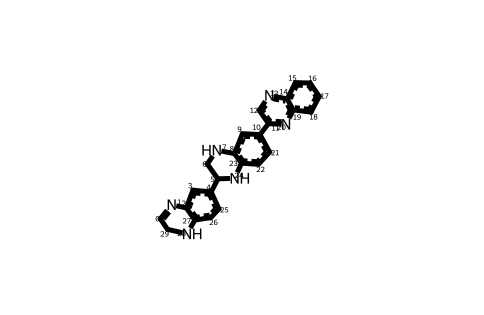 C1=Nc2cc(C3CNc4cc(-c5cnc6ccccc6n5)ccc4N3)ccc2NC1